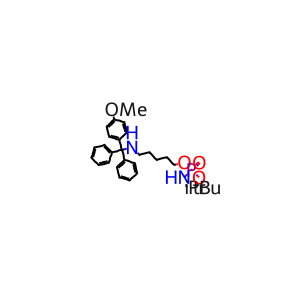 COc1ccc(C(NCCCCCOP(=O)(NC(C)C)OC(C)(C)C)(c2ccccc2)c2ccccc2)cc1